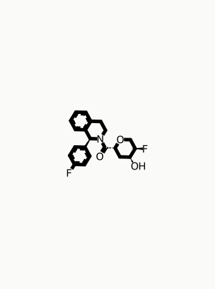 O=C([C@H]1C[C@@H](O)[C@H](F)CO1)N1CCc2ccccc2[C@@H]1c1ccc(F)cc1